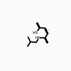 C=C(S)/C=C\C(=C)NCC(C)C